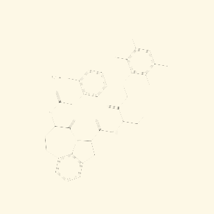 COc1ccccc1OC(=O)NC1CCc2cccc3c2N(C1=O)C(C(=O)NC(CC(=O)O)C(=O)COc1c(F)c(F)cc(F)c1F)C3